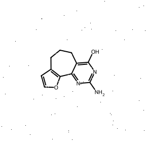 Nc1nc(O)c2c(n1)-c1occc1CCC2